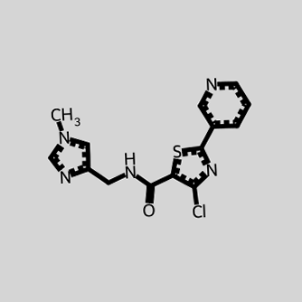 Cn1cnc(CNC(=O)c2sc(-c3cccnc3)nc2Cl)c1